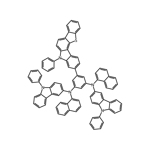 c1ccc(-n2c3ccccc3c3cc(N(c4cc(-c5ccc6c7c8sc9ccccc9c8ccc7n(-c7ccccc7)c6c5)cc(N(c5ccc6c(c5)c5ccccc5n6-c5ccccc5)c5cccc6ccccc56)c4)c4cccc5ccccc45)ccc32)cc1